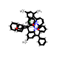 Cc1cc(C)c(-c2cccc3cn(-c4c(C(c5ccccc5)c5ccccc5)cc(C)cc4C(c4ccccc4)c4ccccc4)[c](=[Pd-2]([Cl])[CH2]C=Cc4ccccc4)n23)c(C)c1